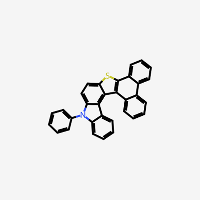 c1ccc(-n2c3ccccc3c3c4c(ccc32)sc2c3ccccc3c3ccccc3c24)cc1